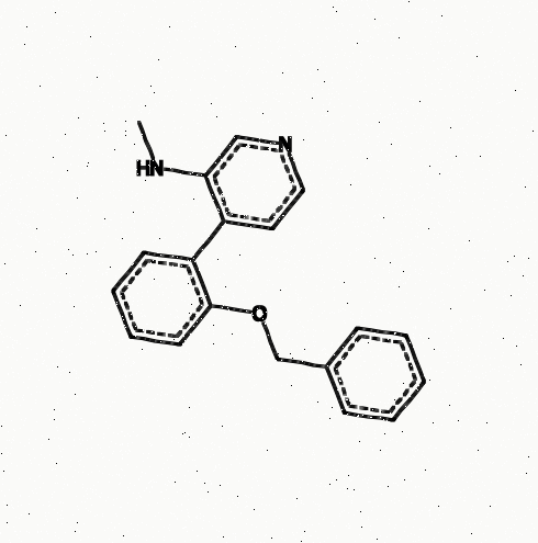 CNc1cnccc1-c1ccccc1OCc1ccccc1